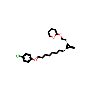 C=C1[C@@H](CCOC2CCCCO2)[C@H]1CCCCCCCCOc1ccc(Cl)cc1